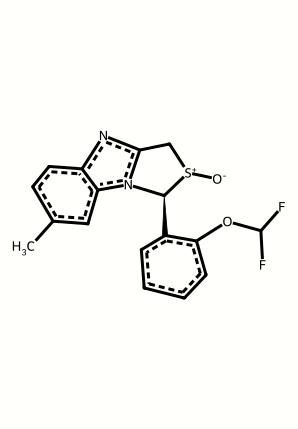 Cc1ccc2nc3n(c2c1)[C@H](c1ccccc1OC(F)F)[S+]([O-])C3